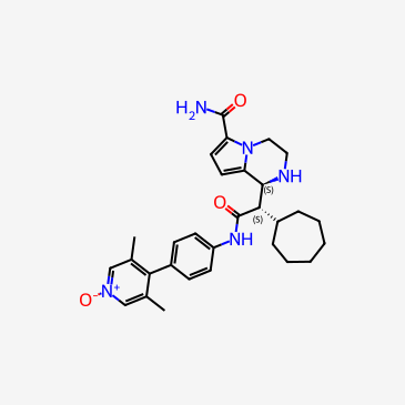 Cc1c[n+]([O-])cc(C)c1-c1ccc(NC(=O)[C@@H](C2CCCCCC2)[C@@H]2NCCn3c(C(N)=O)ccc32)cc1